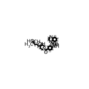 CC(C)(O)CCCC1(O)CCN(C(=O)c2ccc(NS(=O)(=O)c3cccc4nccnc34)cc2)CC1